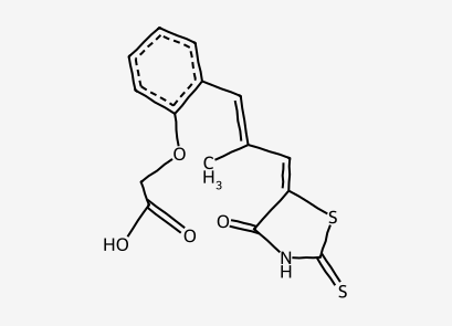 CC(=Cc1ccccc1OCC(=O)O)C=C1SC(=S)NC1=O